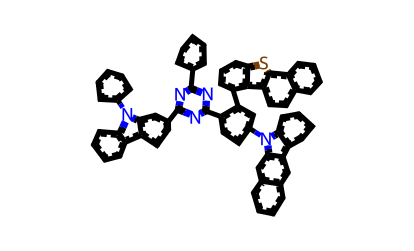 c1ccc(-c2nc(-c3ccc4c5ccccc5n(-c5ccccc5)c4c3)nc(-c3ccc(-n4c5ccccc5c5cc6ccccc6cc54)cc3-c3cccc4sc5c6ccccc6ccc5c34)n2)cc1